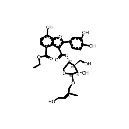 CCOC(=O)c1ccc(O)c2oc(-c3ccc(O)c(O)c3)c(C(=O)O[C@H]3CO[C@H](OC/C(C)=C\CO)[C@@H](O)[C@@H]3CO)c12